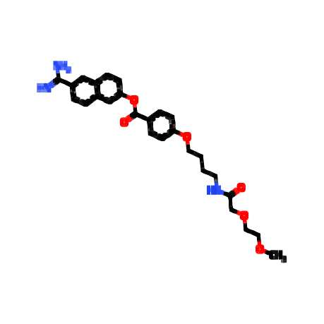 COCCOCC(=O)NCCCCOc1ccc(C(=O)Oc2ccc3cc(C(=N)N)ccc3c2)cc1